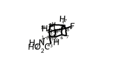 NC[C@@]1(CC(=O)O)[C@@H]2C3CC4(F)[C@@H]5CC[C@H]1[C@H]2C354